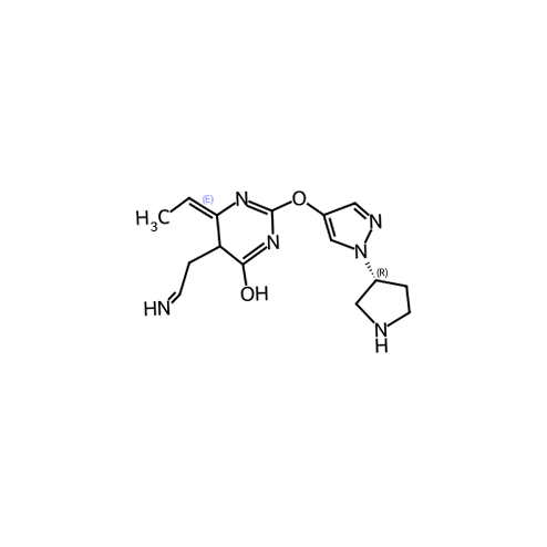 C/C=C1/N=C(Oc2cnn([C@@H]3CCNC3)c2)N=C(O)C1CC=N